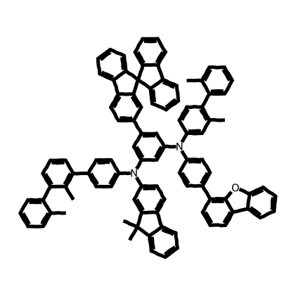 Cc1ccccc1-c1ccc(N(c2ccc(-c3cccc4c3oc3ccccc34)cc2)c2cc(-c3ccc4c(c3)C3(c5ccccc5-c5ccccc53)c3ccccc3-4)cc(N(c3ccc(-c4cccc(-c5ccccc5C)c4C)cc3)c3ccc4c(c3)C(C)(C)c3ccccc3-4)c2)cc1C